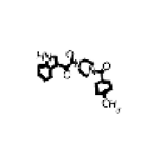 Cc1ccc(C(=O)N2CCN(C(=O)C(=O)c3c[nH]c4ccccc34)CC2)cc1